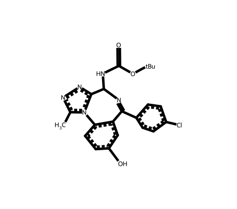 Cc1nnc2n1-c1ccc(O)cc1C(c1ccc(Cl)cc1)=NC2NC(=O)OC(C)(C)C